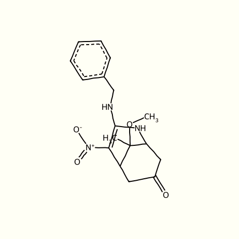 COC1(C)C2CC(=O)CC1C([N+](=O)[O-])=C(NCc1ccccc1)N2